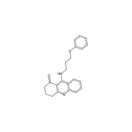 O=C1CCCc2nc3ccccc3c(NCCCOc3ccccc3)c21